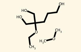 CCOC(CO)(CO)CCCO.COC